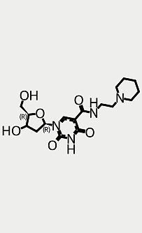 O=C(NCCN1CCCCC1)c1cn([C@H]2CC(O)[C@@H](CO)O2)c(=O)[nH]c1=O